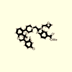 COC(=O)c1ccc2nc(CN3CCC(c4cccc5c4C(F)(F)C(c4ccc(Cl)cc4F)CO5)CC3)n(CC3CCO3)c2c1